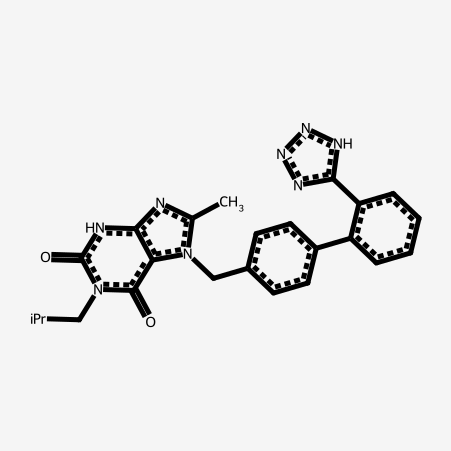 Cc1nc2[nH]c(=O)n(CC(C)C)c(=O)c2n1Cc1ccc(-c2ccccc2-c2nnn[nH]2)cc1